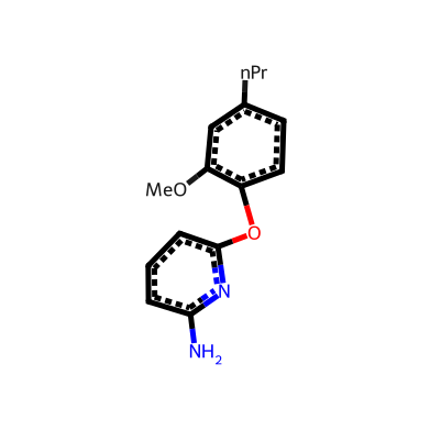 CCCc1ccc(Oc2cccc(N)n2)c(OC)c1